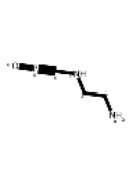 NCCNC#P=O